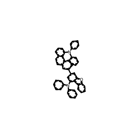 c1ccc(N(c2ccccc2)c2cccc3ccc4cc(-c5cc(N(c6ccccc6)c6ccccc6)c6c(c5)oc5ccccc56)ccc4c23)cc1